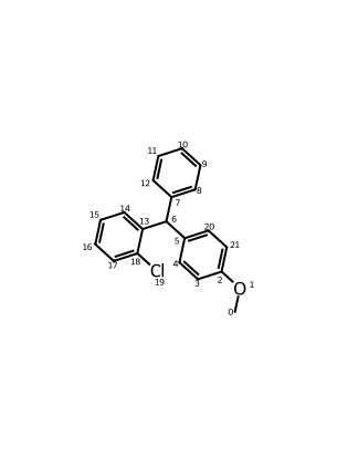 COc1ccc(C(c2ccccc2)c2ccccc2Cl)cc1